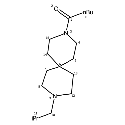 CCCCC(=O)N1CCC2(CCN(CC(C)C)CC2)CC1